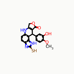 COc1ccc(C2C3=C(COC3=O)Nc3ccc4nc(S)[nH]c4c32)cc1O